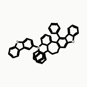 C1=CC(N(c2ccccc2)c2ccc3sc4ccccc4c3c2)C2C(=C1)c1c(cc3oc4ccccc4c3c1-c1ccccc1)CCC2c1ccccc1